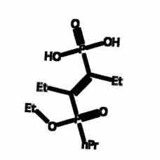 CCCP(=O)(OCC)C(CC)=C(CC)P(=O)(O)O